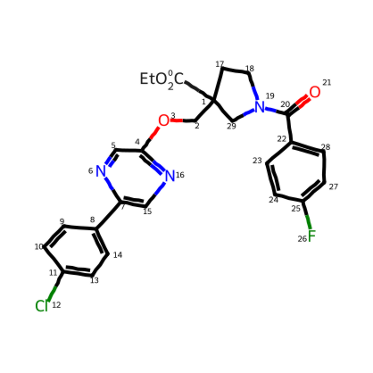 CCOC(=O)C1(COc2cnc(-c3ccc(Cl)cc3)cn2)CCN(C(=O)c2ccc(F)cc2)C1